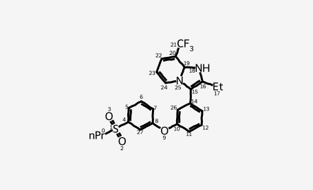 CCCS(=O)(=O)c1cccc(Oc2cccc(C3=C(CC)NC4C(C(F)(F)F)=CC=CN34)c2)c1